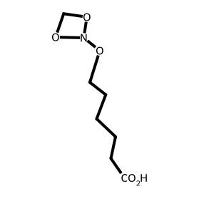 O=C(O)CCCCCON1OCO1